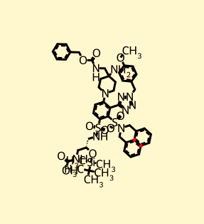 COc1ccc(Cn2nnc(-c3c(N4CCC(N)(CNC(=O)OCc5ccccc5)CC4)ccc(S(=O)(=O)NC[C@@H](CNC(=O)O)O[Si](C)(C)C(C)(C)C)c3S(=O)(=O)N(Cc3ccccc3)Cc3ccccc3)n2)cc1